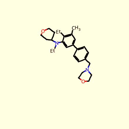 CCc1c(C)cc(-c2ccc(CN3CCOCC3)cc2)cc1N(CC)C1CCOCC1